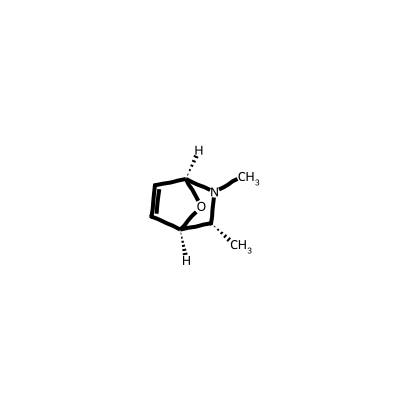 C[C@@H]1[C@H]2C=C[C@H](O2)N1C